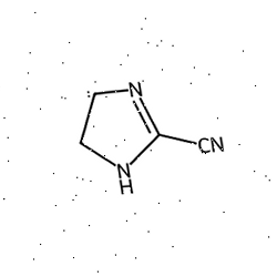 N#CC1=N[C]CN1